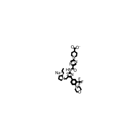 CCC[C@@H]1CCCN1Cc1sc(NC(=O)c2cnc(N3CCC(C(=O)[O-])CC3)cn2)nc1-c1ccc(N2CCOCC2)c(C(F)(F)F)c1.[Na+]